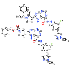 Cn1cc(-c2cc(F)cc(CNC(=O)c3ncnc4nc(C5CCN(C(=O)O)C5Cc5ccccc5)[nH]c34)c2)cn1.Cn1cc(-c2cc(F)cc(CNC(=O)c3ncnc4nc(C5CCN(C(=O)OCc6ccccc6)C5)[nH]c34)c2)cn1